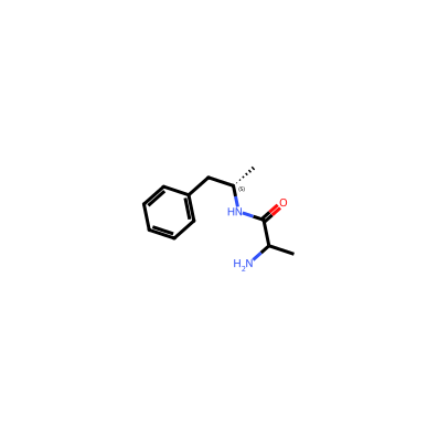 CC(N)C(=O)N[C@@H](C)Cc1ccccc1